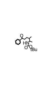 CC(CCC(=O)c1ccccc1)C(C)NC(=O)OC(C)(C)C